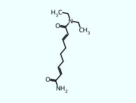 CCN(CC)C(=O)C=CCCCC=CC(N)=O